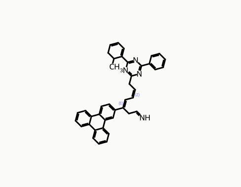 CC1CC=CC=C1c1nc(C/C=C\C=C(/CC=N)c2ccc3c4ccccc4c4ccccc4c3c2)nc(-c2ccccc2)n1